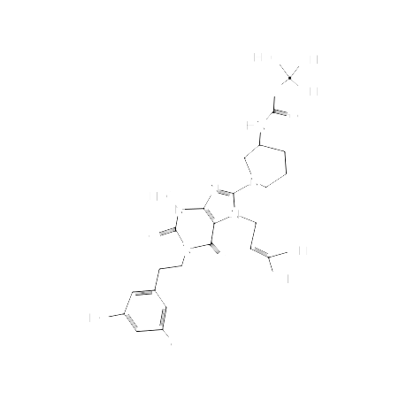 CC(C)=CCn1c(N2CCCC(NC(=O)OC(C)(C)C)C2)nc2c1c(=O)n(CCc1cc(C)cc(C)c1)c(=O)n2C